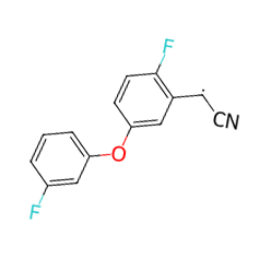 N#C[CH]c1cc(Oc2cccc(F)c2)ccc1F